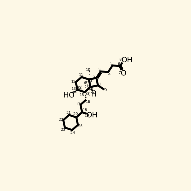 CC1C(=CCCC(=O)O)[C@]2(C)CC[C@H](O)[C@@H](CCC(O)C3CCCCC3)[C@H]12